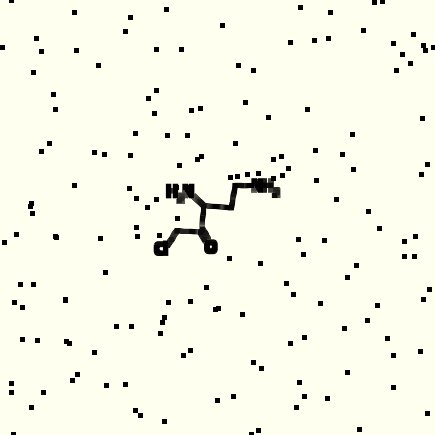 NCCC(N)C(=O)CCl